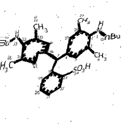 CCCCNc1c(C)cc(C(c2cc(C)c(NCCCC)c(C)c2)c2ccccc2S(=O)(=O)O)cc1C